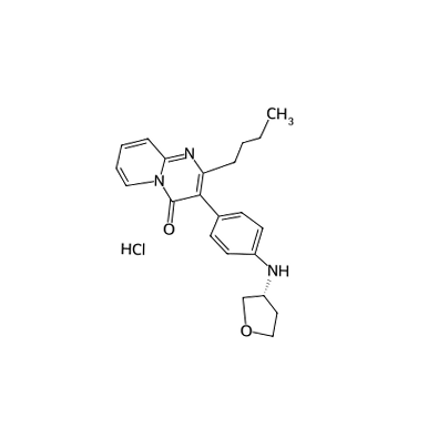 CCCCc1nc2ccccn2c(=O)c1-c1ccc(N[C@@H]2CCOC2)cc1.Cl